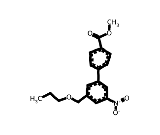 CCCOCc1cc(-c2ccc(C(=O)OC)cc2)cc([N+](=O)[O-])c1